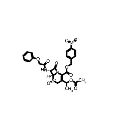 CC(=O)OC(C)C1=C(C(=O)OCc2ccc([N+](=O)[O-])cc2)N2C(=O)[C@@H](NC(=O)COc3ccccc3)[C@H]2[S+]([O-])C1